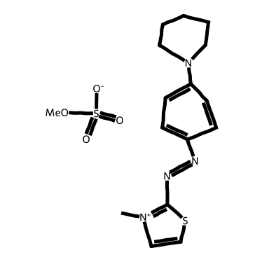 COS(=O)(=O)[O-].C[n+]1ccsc1N=Nc1ccc(N2CCCCC2)cc1